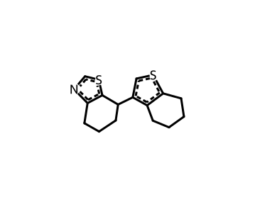 c1nc2c(s1)C(c1csc3c1CCCC3)CCC2